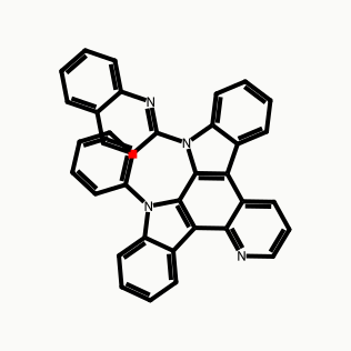 c1ccc(-n2c3ccccc3c3c4ncccc4c4c5ccccc5n(-c5ccc6ccccc6n5)c4c32)cc1